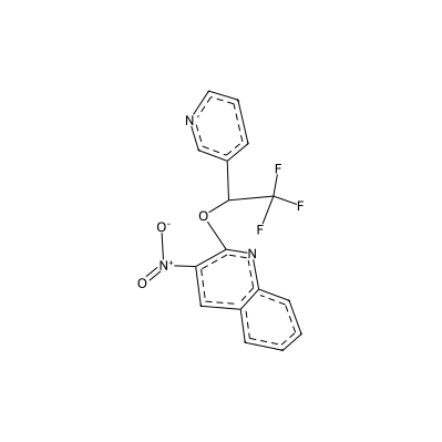 O=[N+]([O-])c1cc2ccccc2nc1OC(c1cccnc1)C(F)(F)F